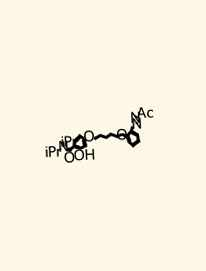 CC(=O)N=NCc1ccccc1OCCCCCOc1ccc(C(=O)N(C(C)C)C(C)C)c(O)c1